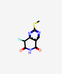 CSc1ncc2c(n1)C(F)C(=O)NC2=O